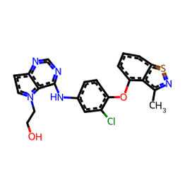 Cc1nsc2cccc(Oc3ccc(Nc4ncnc5ccn(CCO)c45)cc3Cl)c12